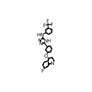 Fc1ccc2c(Oc3cccc(-c4nnc(Nc5cccc(C(F)(F)F)c5)[nH]4)c3)ccnc2c1